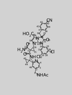 CC(=O)NCc1ccnc(C2(NC(=O)C3(C(N)=O)CC3N3C=C(C(=O)O)N4C3N(c3cc(Cl)cc(Cl)c3)C(=O)[C@@]4(C)Cc3ccc(C#N)cc3)CC2)c1